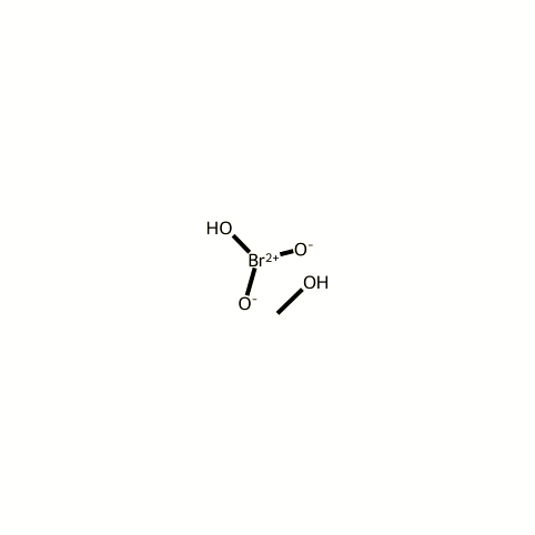 CO.[O-][Br+2]([O-])O